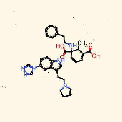 CC1C(C(=O)O)=CC=CC1(NCCc1ccccc1)C(=O)O.c1cc2[nH]cc(CCN3CCCC3)c2cc1-n1cnnc1